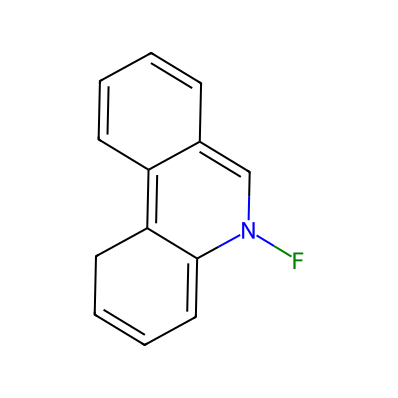 FN1C=c2ccccc2=C2CC=CC=C21